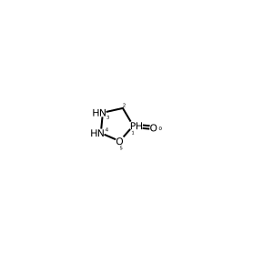 O=[PH]1CNNO1